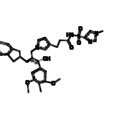 COc1cc([C@@H](O)[C@@H](CC2Cc3ccccc3C2)Cn2ccc(CCC(=O)NS(=O)(=O)c3cn(C)cn3)c2)cc(OC)c1C